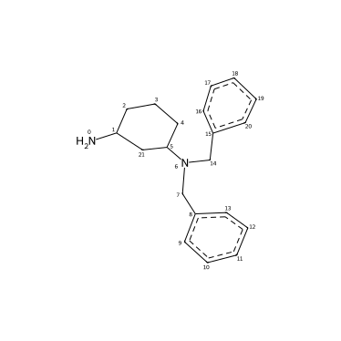 NC1CCCC(N(Cc2ccccc2)Cc2ccccc2)C1